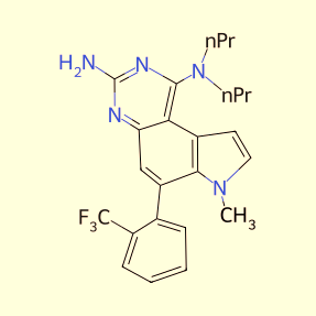 CCCN(CCC)c1nc(N)nc2cc(-c3ccccc3C(F)(F)F)c3c(ccn3C)c12